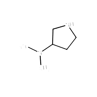 [CH2]N(CCC)C1CCNC1